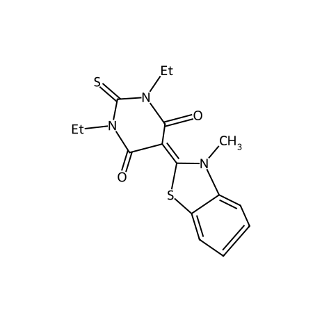 CCN1C(=O)C(=C2Sc3ccccc3N2C)C(=O)N(CC)C1=S